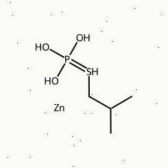 CC(C)C[SH]=P(O)(O)O.[Zn]